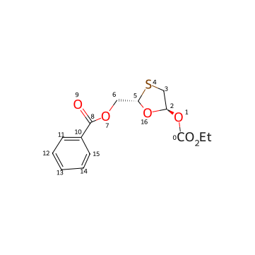 CCOC(=O)O[C@@H]1CS[C@@H](COC(=O)c2ccccc2)O1